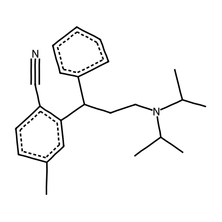 Cc1ccc(C#N)c(C(CCN(C(C)C)C(C)C)c2ccccc2)c1